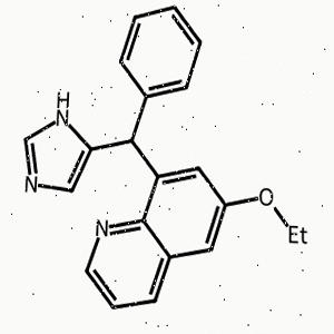 CCOc1cc(C(c2ccccc2)c2cnc[nH]2)c2ncccc2c1